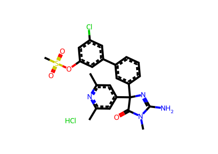 Cc1cc(C2(c3cccc(-c4cc(Cl)cc(OS(C)(=O)=O)c4)c3)N=C(N)N(C)C2=O)cc(C)n1.Cl